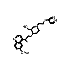 COc1ccc2nccc(C(F)CC[C@@H]3CCN(CCSc4ccnnc4)C[C@@H]3CO)c2c1